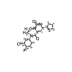 CN(C(=O)C1=CC(c2cccs2)=N[S+]([O-])N1C)c1ccc(F)c(Cl)c1